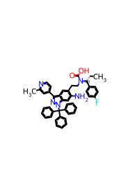 CC[C@H](c1ccc(F)cc1)N(CCc1cc2c(-c3ccnc(C)c3)nn(C(c3ccccc3)(c3ccccc3)c3ccccc3)c2cc1N)C(=O)O